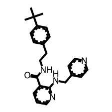 CC(C)(C)c1ccc(CCNC(=O)c2cccnc2NCc2ccncc2)cc1